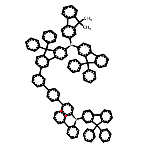 CC1(C)c2ccccc2-c2ccc(N(c3ccc4c(c3)C(c3ccccc3)(c3ccccc3)c3ccccc3-4)c3ccc4c(c3)C(c3ccccc3)(c3ccccc3)c3ccc(-c5cccc(-c6ccc(-c7ccc(N(c8ccc9c(c8)C(c8ccccc8)(c8ccccc8)c8ccccc8-9)c8ccccc8-c8ccccc8)cc7)cc6)c5)cc3-4)cc21